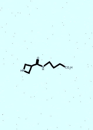 O=C(O)CCCNC(=O)C1CNC1